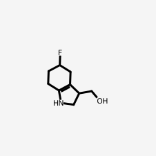 OCC1CNC2=C1CC(F)CC2